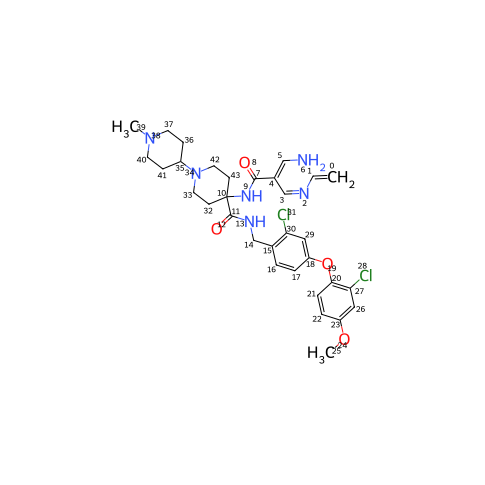 C=C/N=C\C(=C/N)C(=O)NC1(C(=O)NCc2ccc(Oc3ccc(OC)cc3Cl)cc2Cl)CCN(C2CCN(C)CC2)CC1